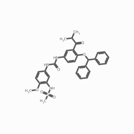 COc1ccc(NC(=O)Nc2ccc(OC(c3ccccc3)c3ccccc3)c(C(=O)C(C)C)c2)cc1NS(C)(=O)=O